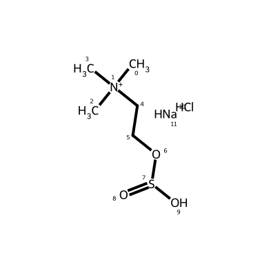 C[N+](C)(C)CCOS(=O)O.Cl.[NaH]